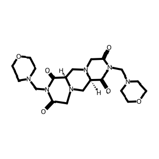 O=C1CN2C[C@@H]3C(=O)N(CN4CCOCC4)C(=O)CN3C[C@@H]2C(=O)N1CN1CCOCC1